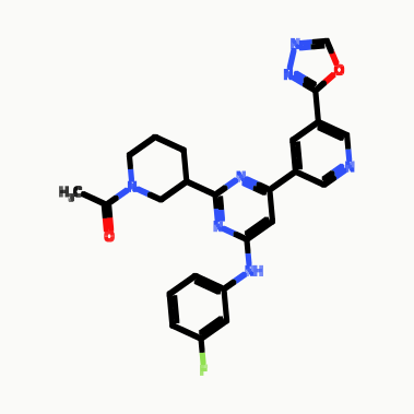 CC(=O)N1CCCC(c2nc(Nc3cccc(F)c3)cc(-c3cncc(-c4nnco4)c3)n2)C1